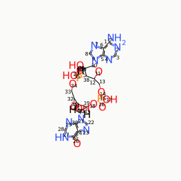 Nc1ncnc2c1ncn2C1OC2COP(=O)(O)O[C@H]3C(n4cnc5c(=O)[nH]cnc54)OC(COP(=O)(O)[C@H]2[C@H]1O)[C@H]3O